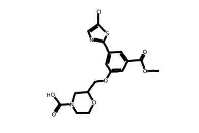 COC(=O)c1cc(OCC2CN(C(=O)O)CCO2)cc(-c2ncc(Cl)s2)c1